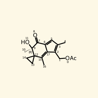 CC(=O)OCC1=C(C)C=C2C(=O)[C@](C)(O)C3(CC3)C(C)=C21